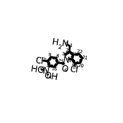 NCc1cn(C(=O)c2ccc(Cl)c(N(O)O)c2)c2c(Cl)cccc12